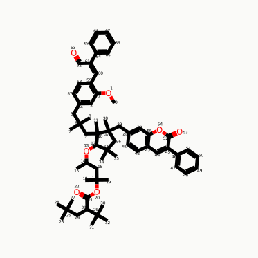 COc1cc(CC(C)(C)CC2(C)C(OC(C)CC(C)(C)OC(=O)C(CC(C)(C)C)C(C)(C)C)C(C)(C)CC2(C)Cc2ccc3cc(-c4ccccc4)c(=O)oc3c2)ccc1/C=C(\C=O)c1ccccc1